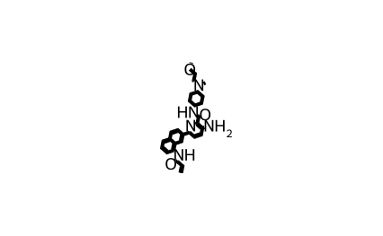 C=CC(=O)Nc1cccc2ccc(-c3ccc(N)c(C(=O)N[C@H]4CC[C@H](N(C)CCOC)CC4)n3)cc12